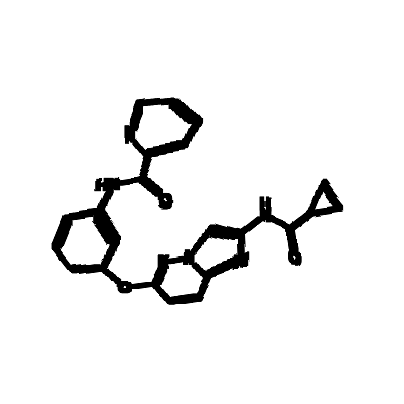 O=C(Nc1cccc(Oc2ccc3nc(NC(=O)C4CC4)cn3n2)c1)c1ccccn1